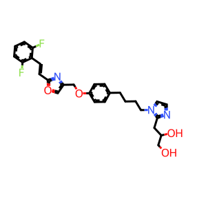 OCC(O)Cc1nccn1CCCCc1ccc(OCc2coc(C=Cc3c(F)cccc3F)n2)cc1